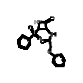 O=C(COc1ccccc1)NC1C(=O)NC1S(=O)(=O)c1ccccc1